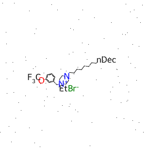 CCCCCCCCCCCCCCCCCCN1CC[N+](CC)(Cc2cccc(OC(F)(F)F)c2)CC1.[Br-]